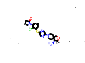 C[C@@H]1OCC2(CCN(c3cnc(Sc4cccc(N5CCCC5=O)c4Cl)cn3)CC2)[C@@H]1N